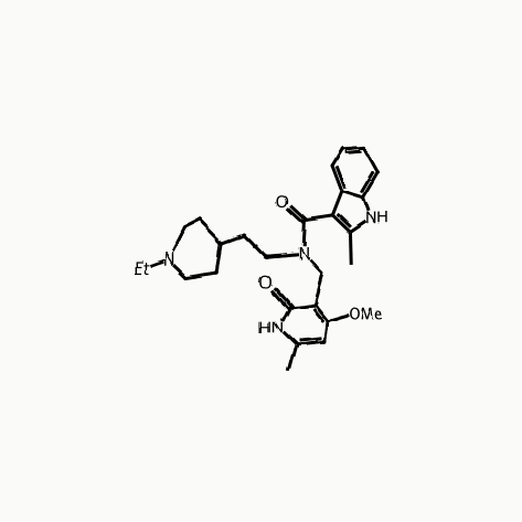 CCN1CCC(CCN(Cc2c(OC)cc(C)[nH]c2=O)C(=O)c2c(C)[nH]c3ccccc23)CC1